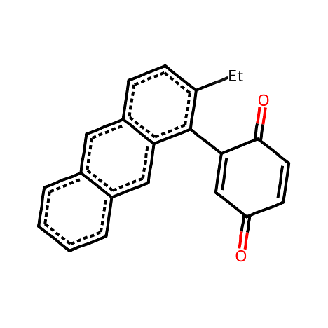 CCc1ccc2cc3ccccc3cc2c1C1=CC(=O)C=CC1=O